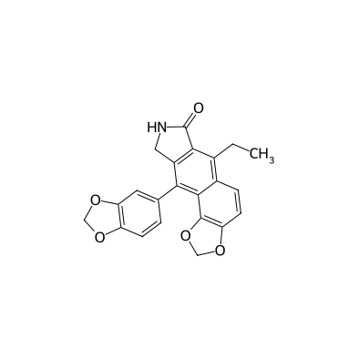 CCc1c2c(c(-c3ccc4c(c3)OCO4)c3c4c(ccc13)OCO4)CNC2=O